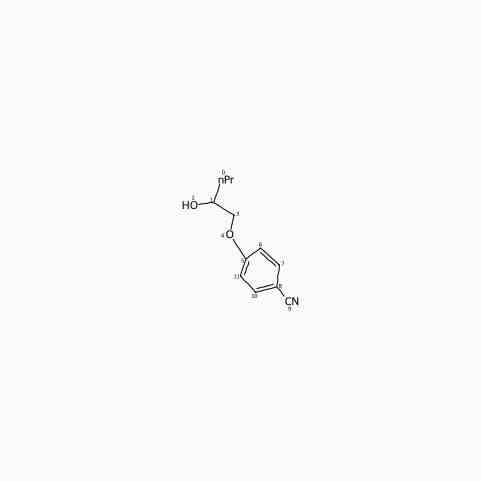 CCCC(O)COc1ccc(C#N)cc1